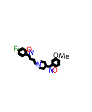 COc1ccc2onc(C3CCN(CCCc4noc5cc(F)ccc45)CC3)c2c1